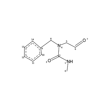 CNC(=O)N(CC=O)Cc1ccccc1